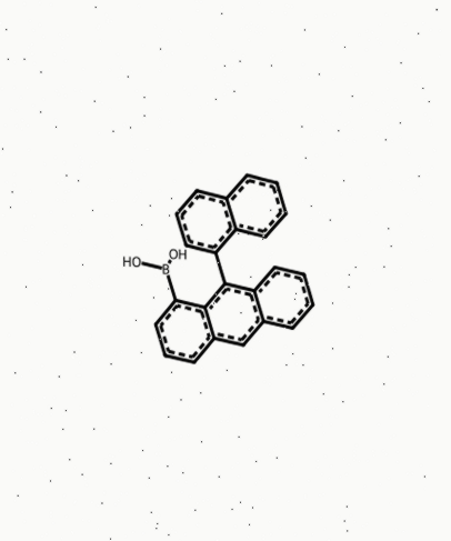 OB(O)c1cccc2cc3ccccc3c(-c3cccc4ccccc34)c12